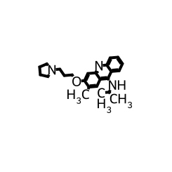 Cc1cc2c(NC(C)C)c3ccccc3nc2cc1OCCCN1CCCC1